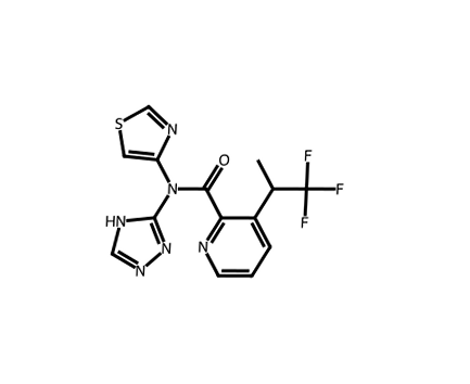 CC(c1cccnc1C(=O)N(c1cscn1)c1nnc[nH]1)C(F)(F)F